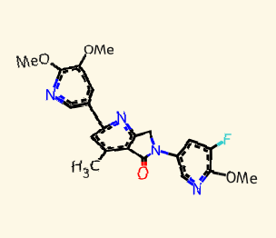 COc1cc(-c2cc(C)c3c(n2)CN(c2cnc(OC)c(F)c2)C3=O)cnc1OC